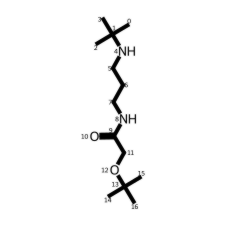 CC(C)(C)NCCCNC(=O)COC(C)(C)C